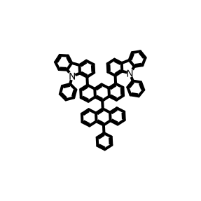 c1ccc(-c2c3ccccc3c(-c3c4cccc(-c5cccc6c7ccccc7n(-c7ccccc7)c56)c4cc4c(-c5cccc6c7ccccc7n(-c7ccccc7)c56)cccc34)c3ccccc23)cc1